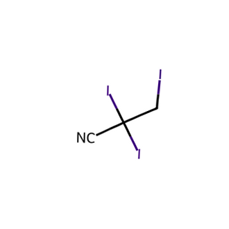 N#CC(I)(I)CI